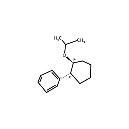 CC(C)O[C@H]1CCCC[C@@H]1c1ccccc1